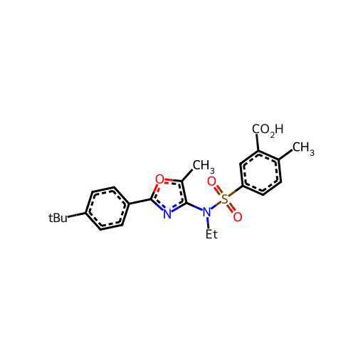 CCN(c1nc(-c2ccc(C(C)(C)C)cc2)oc1C)S(=O)(=O)c1ccc(C)c(C(=O)O)c1